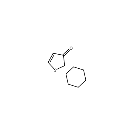 C1CCCCC1.O=C1C=CSC1